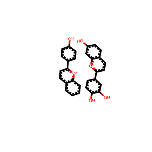 Oc1ccc(-c2ccc3ccccc3[o+]2)cc1.Oc1ccc2ccc(-c3ccc(O)c(O)c3)[o+]c2c1